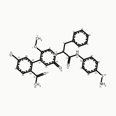 COc1cn(C(Cc2ccccc2)C(=O)Nc2ccc(SN)cc2)c(=O)cc1-c1cc(Cl)ccc1C(C)=O